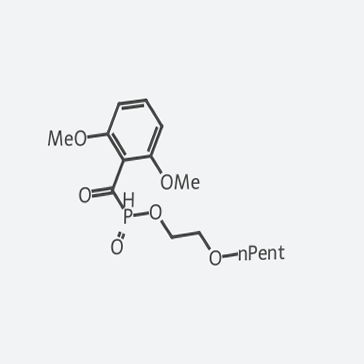 CCCCCOCCO[PH](=O)C(=O)c1c(OC)cccc1OC